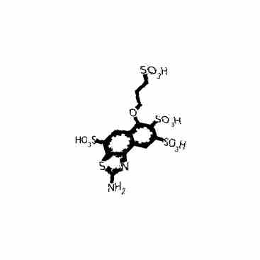 Nc1nc2c(s1)c(S(=O)(=O)O)cc1c(OCCCS(=O)(=O)O)c(S(=O)(=O)O)c(S(=O)(=O)O)cc12